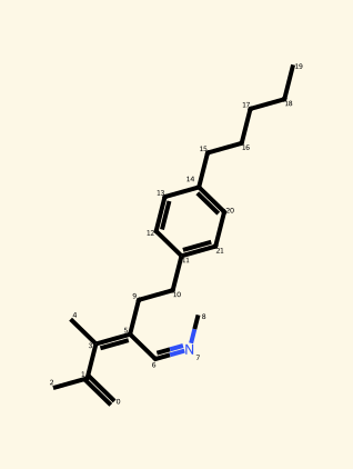 C=C(C)/C(C)=C(\C=N/C)CCc1ccc(CCCCC)cc1